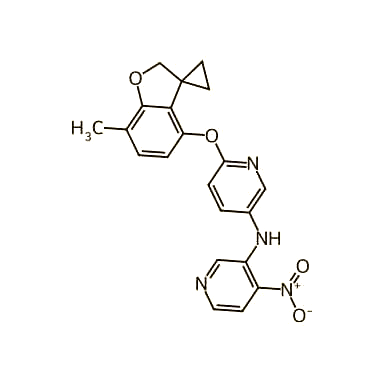 Cc1ccc(Oc2ccc(Nc3cnccc3[N+](=O)[O-])cn2)c2c1OCC21CC1